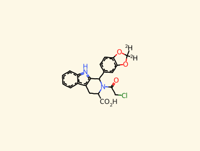 [2H]C1([2H])Oc2ccc(C3c4[nH]c5ccccc5c4CC(C(=O)O)N3C(=O)CCl)cc2O1